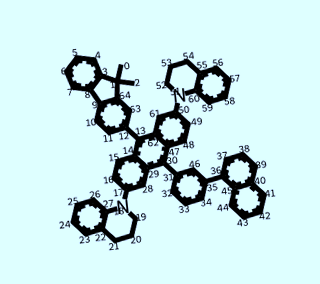 CC1(C)c2ccccc2-c2ccc(-c3c4ccc(N5CCCc6ccccc65)cc4c(-c4cccc(-c5cccc6ccccc56)c4)c4ccc(N5CCCc6ccccc65)cc34)cc21